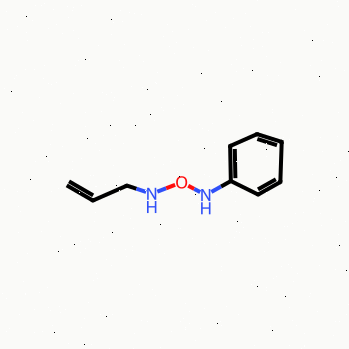 C=CCNONc1ccccc1